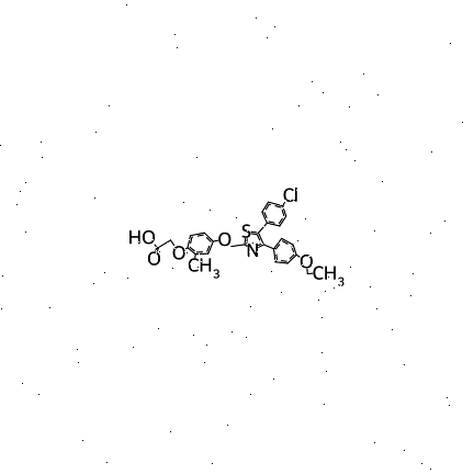 CCOc1ccc(-c2nc(COc3ccc(OCC(=O)O)c(C)c3)sc2-c2ccc(Cl)cc2)cc1